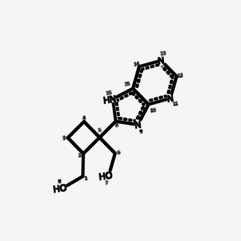 OCC1CCC1(CO)c1nc2ncncc2[nH]1